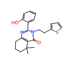 CC1(C)CCCc2nc(-c3ccccc3O)n(CCc3cccs3)c(=O)c21